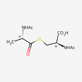 CC(=O)N[C@@H](C)C(=O)SC[C@H](NC(C)=O)C(=O)O